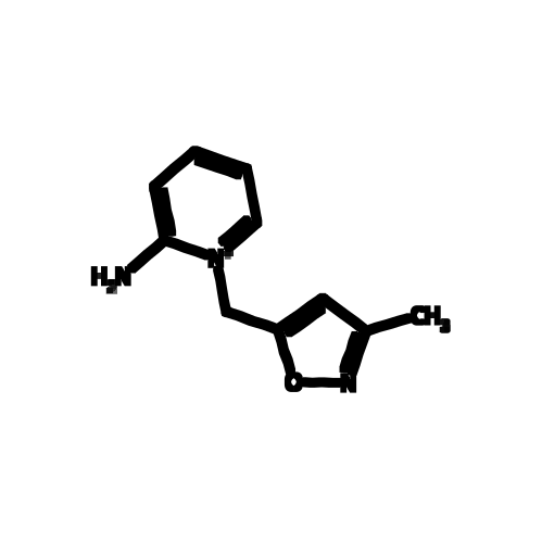 Cc1cc(C[n+]2ccccc2N)on1